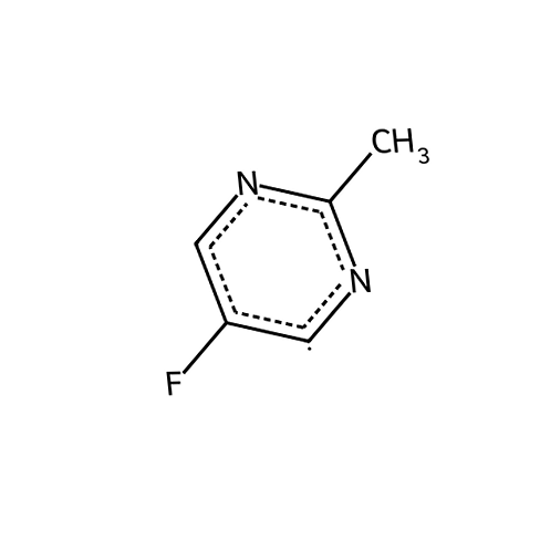 Cc1n[c]c(F)cn1